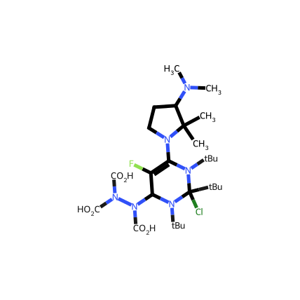 CN(C)C1CCN(C2=C(F)C(N(C(=O)O)N(C(=O)O)C(=O)O)N(C(C)(C)C)C(Cl)(C(C)(C)C)N2C(C)(C)C)C1(C)C